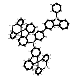 c1ccc(-n2c3ccccc3c3cc(-c4ccc(N(c5ccc6c(c5)-c5ccccc5C65c6ccccc6Oc6ccccc65)c5cccc6c5-c5ccccc5C65c6ccccc6Sc6ccccc65)cc4)ccc32)cc1